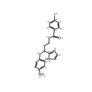 O=C(OCCC(Oc1ccc([N+](=O)[O-])cc1)c1ncc[nH]1)c1ccc(I)cc1